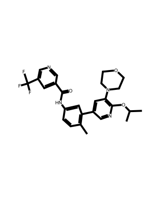 Cc1ccc(NC(=O)c2cncc(C(F)(F)F)c2)cc1-c1cnc(OC(C)C)c(N2CCOCC2)c1